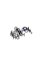 C=C(C)/C=C(\C=C/C)c1nc(NC(CO)CO)nc2c1ccc(=O)n2-c1ccc(C(F)(F)F)cc1